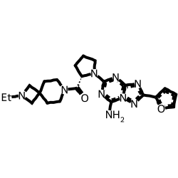 CCN1CC2(CCN(C(=O)[C@@H]3CCCN3c3nc(N)n4nc(-c5ccco5)nc4n3)CC2)C1